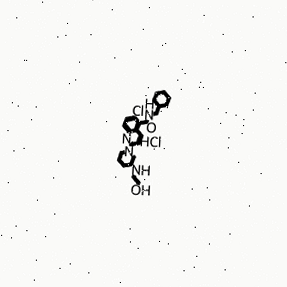 Cl.O=C(NCC1CCCCC1)c1c(Cl)ccc2nc(N3CCC[C@H](NCCO)C3)ccc12